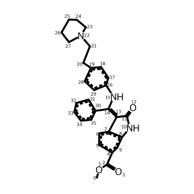 COC(=O)c1ccc2c(c1)NC(=O)/C2=C(\Nc1ccc(CCN2CCCCC2)cc1)c1ccccc1